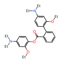 CCOc1cc(N(CC)CC)ccc1OC(=O)c1ccccc1-c1ccc(N(CC)CC)cc1OCC